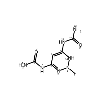 CN1N=C(NC(N)=O)C=C(NC(N)=O)N1